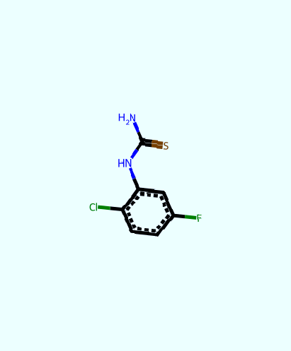 NC(=S)Nc1cc(F)ccc1Cl